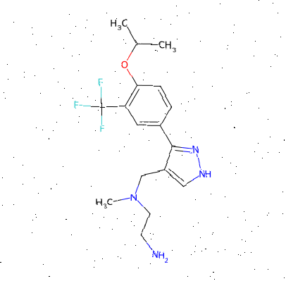 CC(C)Oc1ccc(-c2n[nH]cc2CN(C)CCN)cc1C(F)(F)F